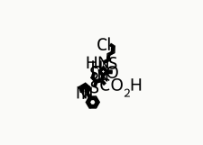 O=C(O)C1=C(Sc2ccnn2-c2ccccc2)CS[C@H]2[C@H](NC(=S)C/C=C\Cl)C(=O)N12